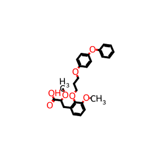 COc1cccc(CC(OC)C(=O)O)c1OCCCOc1ccc(Oc2ccccc2)cc1